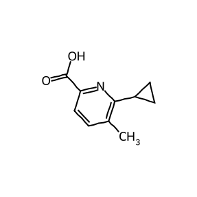 Cc1ccc(C(=O)O)nc1C1CC1